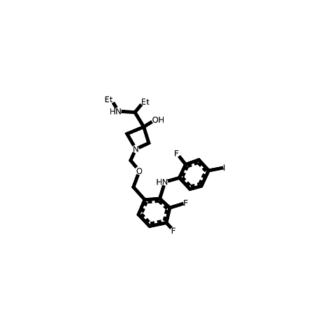 CCNC(CC)C1(O)CN(COCc2ccc(F)c(F)c2Nc2ccc(I)cc2F)C1